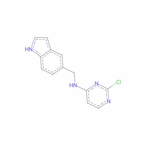 Clc1nccc(NCc2ccc3[nH]ccc3c2)n1